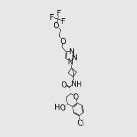 O=C(NC12CC(n3cc(COCCOC(F)(F)F)nn3)(C1)C2)[C@H]1C[C@@H](O)c2cc(Cl)ccc2O1